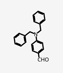 O=Cc1ccc(N(Cc2ccccc2)Cc2ccccc2)cc1